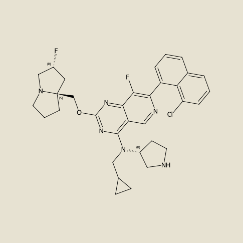 Fc1c(-c2cccc3cccc(Cl)c23)ncc2c(N(CC3CC3)[C@@H]3CCNC3)nc(OC[C@@]34CCCN3C[C@H](F)C4)nc12